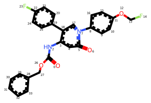 O=C(Nc1cc(=O)n(-c2ccc(OCF)cc2)cc1-c1ccc(F)cc1)OCc1ccccc1